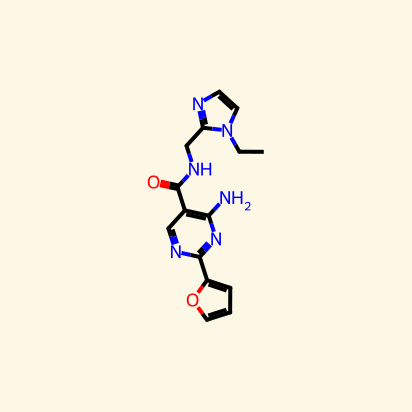 CCn1ccnc1CNC(=O)c1cnc(-c2ccco2)nc1N